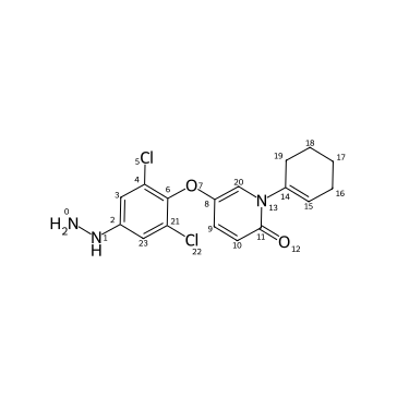 NNc1cc(Cl)c(Oc2ccc(=O)n(C3=CCCCC3)c2)c(Cl)c1